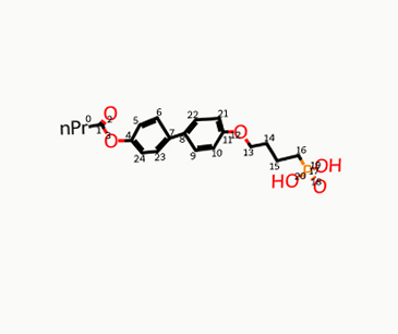 CCCC(=O)Oc1ccc(-c2ccc(OCCCCP(=O)(O)O)cc2)cc1